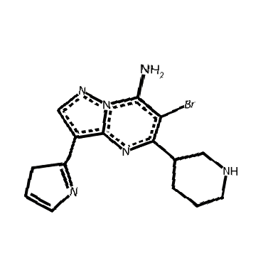 Nc1c(Br)c(C2CCCNC2)nc2c(C3=NC=CC3)cnn12